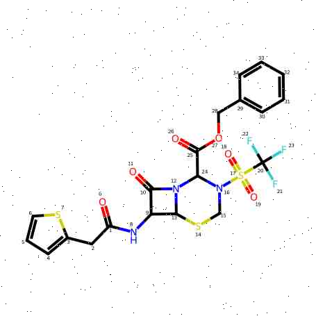 O=C(Cc1cccs1)NC1C(=O)N2C1SCN(S(=O)(=O)C(F)(F)F)C2C(=O)OCc1ccccc1